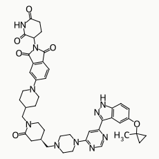 CC1(Oc2ccc3[nH]nc(-c4cc(N5CCN(C[C@@H]6CCN(CC7CCN(c8ccc9c(c8)C(=O)N(C8CCC(=O)NC8=O)C9=O)CC7)C(=O)C6)CC5)ncn4)c3c2)CC1